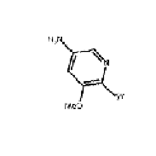 COc1cc(N)cnc1C(C)C